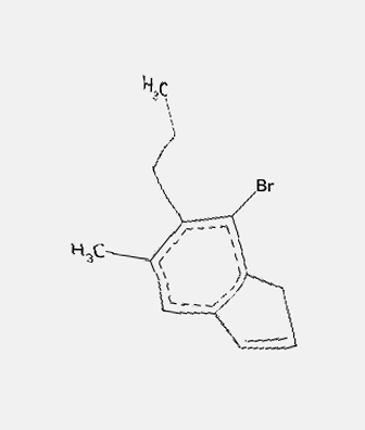 CCCc1c(C)cc2c(c1Br)CC=C2